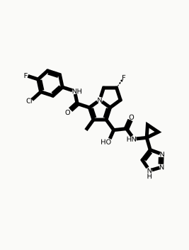 Cc1c(C(O)C(=O)NC2(c3c[nH]nn3)CC2)c2n(c1C(=O)Nc1ccc(F)c(Cl)c1)C[C@H](F)C2